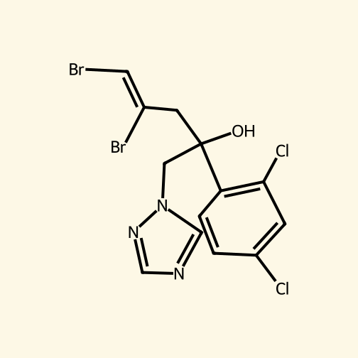 OC(CC(Br)=CBr)(Cn1cncn1)c1ccc(Cl)cc1Cl